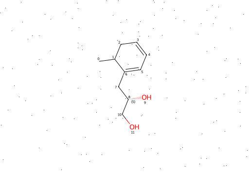 CC1CC=CC=C1C[C@H](O)CO